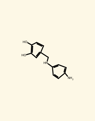 Nc1ccc(NCc2ccc(O)c(O)c2)cc1